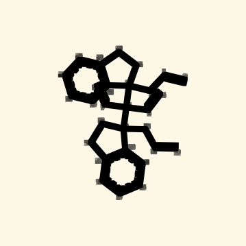 C=CCC1(C(C=C)(C=C)C2(CC=C)CCc3ccccc32)CCc2ccccc21